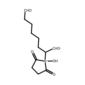 O=[C]CCCCCC([C]=O)[N+]1(O)C(=O)CCC1=O